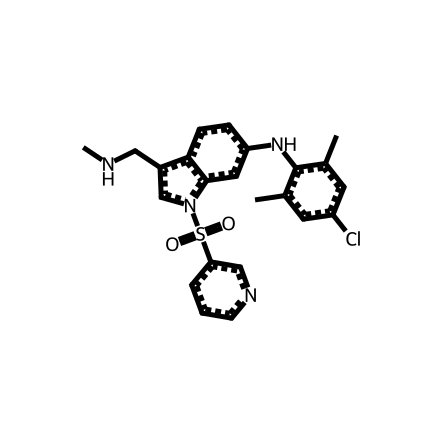 CNCc1cn(S(=O)(=O)c2cccnc2)c2cc(Nc3c(C)cc(Cl)cc3C)ccc12